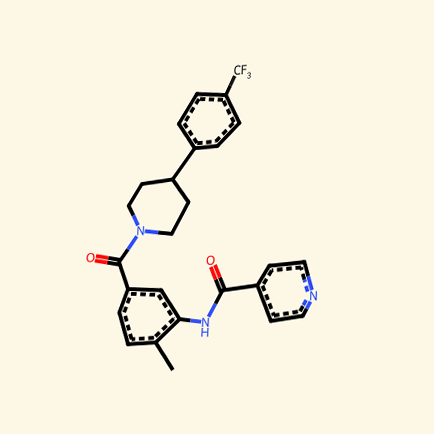 Cc1ccc(C(=O)N2CCC(c3ccc(C(F)(F)F)cc3)CC2)cc1NC(=O)c1ccncc1